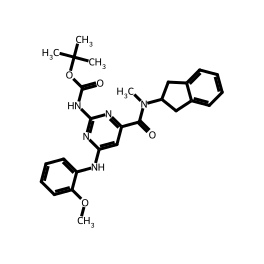 COc1ccccc1Nc1cc(C(=O)N(C)C2Cc3ccccc3C2)nc(NC(=O)OC(C)(C)C)n1